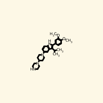 COc1ccc(-c2[nH]c3ccc(N4CCC(N5CCNCC5)CC4)cc3c2C(C)C)cc1OC